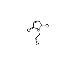 O=CCN1C(=O)C=CC1=O